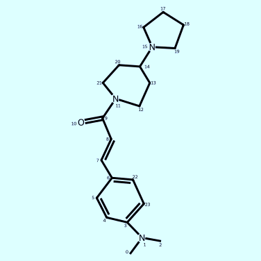 CN(C)c1ccc(C=CC(=O)N2CCC(N3CCCC3)CC2)cc1